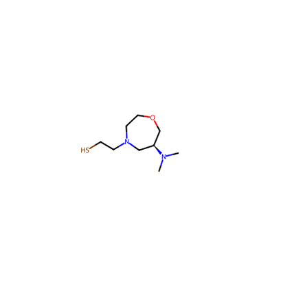 CN(C)[C@@H]1COCCN(CCS)C1